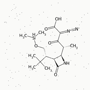 C[C@@H](C(=O)C(=[N+]=[N-])C(=O)O)[C@H]1NC(=O)[C@H]1[C@@H](CO[SiH](C)C)C(C)(C)C